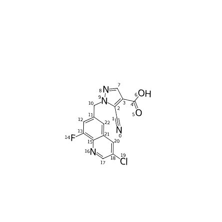 N#Cc1c(C(=O)O)cnn1Cc1cc(F)c2ncc(Cl)cc2c1